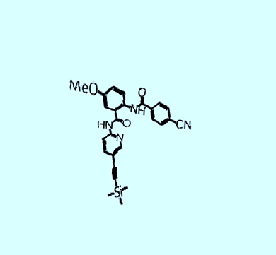 COc1ccc(NC(=O)c2ccc(C#N)cc2)c(C(=O)Nc2ccc(C#C[Si](C)(C)C)cn2)c1